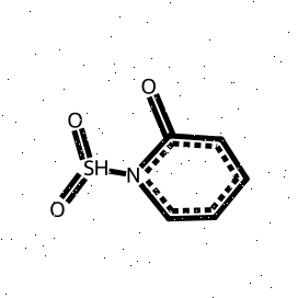 O=c1ccccn1[SH](=O)=O